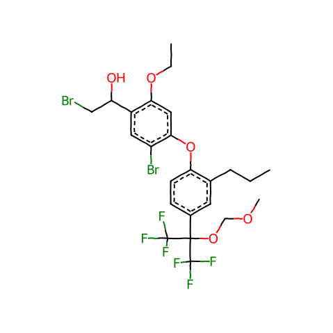 CCCc1cc(C(OCOC)(C(F)(F)F)C(F)(F)F)ccc1Oc1cc(OCC)c(C(O)CBr)cc1Br